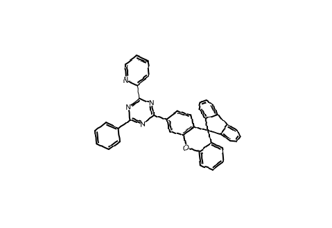 c1ccc(-c2nc(-c3ccc4c(c3)Oc3ccccc3C43c4ccccc4-c4ccccc43)nc(-c3ccccn3)n2)cc1